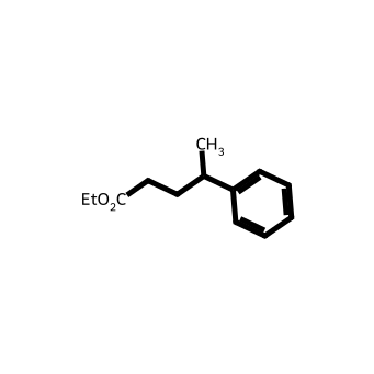 CCOC(=O)CCC(C)c1ccccc1